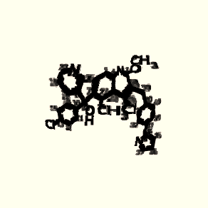 COC1=NC2=CC=C(C(O)(c3ccc(Cl)cc3)c3cccnc3)C(C)C2C(Cl)=C1Cc1ccc(-n2cccn2)cc1